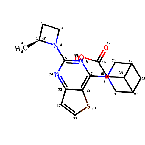 C[C@H]1CCN1c1nc(N2CC3CC(C2)C3CC(=O)O)c2sccc2n1